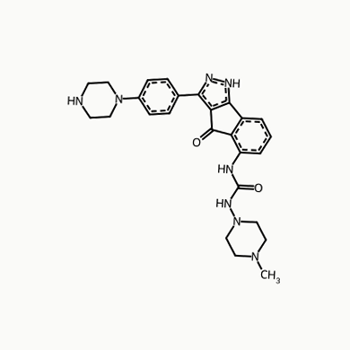 CN1CCN(NC(=O)Nc2cccc3c2C(=O)c2c(-c4ccc(N5CCNCC5)cc4)n[nH]c2-3)CC1